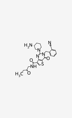 CCC(=O)CNC(=O)c1csc2c(=O)n(Cc3ccccc3C#N)c(N3CCC[C@@H](N)C3)nc12